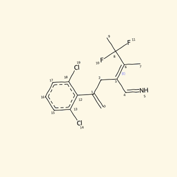 C=C(C/C(C=N)=C(/C)C(C)(F)F)c1c(Cl)cccc1Cl